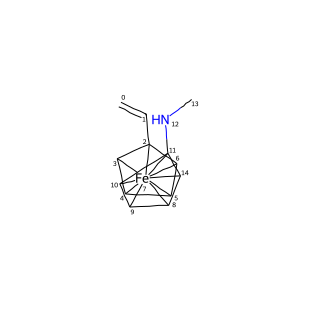 C=C[C]12[CH]3[CH]4[CH]5[CH]1[Fe]45321678[CH]2[CH]1[CH]6[C]7(NC)[CH]28